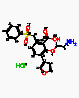 Cl.NCCOc1c(-c2ccoc2)ccc(CS(=O)(=O)c2ccccc2)c1C(=O)O